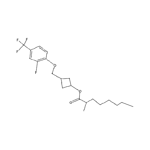 CCCCCCC(C)C(=O)OC1CC(COc2ccc(C(F)(F)F)cc2F)C1